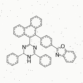 c1ccc(C2=NC(c3c(-c4ccc(-c5nc6ccccc6o5)cc4)c4ccccc4c4ccccc34)=NC(c3ccccc3)N2)cc1